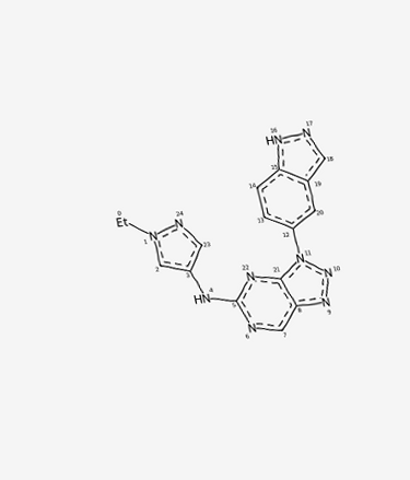 CCn1cc(Nc2ncc3nnn(-c4ccc5[nH]ncc5c4)c3n2)cn1